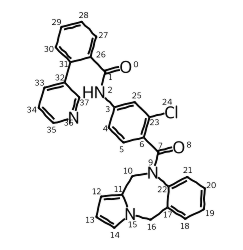 O=C(Nc1ccc(C(=O)N2Cc3cccn3Cc3ccccc32)c(Cl)c1)c1ccccc1-c1cccnc1